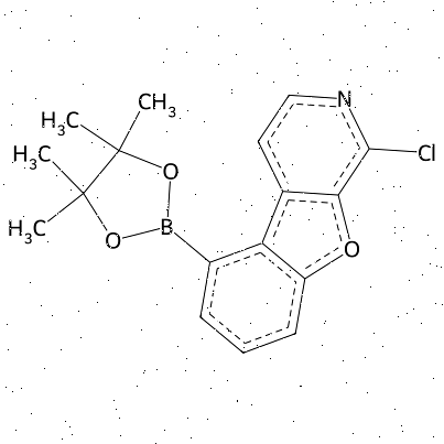 CC1(C)OB(c2cccc3oc4c(Cl)nccc4c23)OC1(C)C